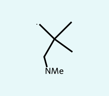 [CH2]C(C)(C)CNC